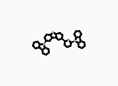 c1cc(-c2ccc3sc4ccc(-n5c6ccccc6c6ccccc65)cc4c3c2)nc(-n2c3ccccc3c3ccccc32)c1